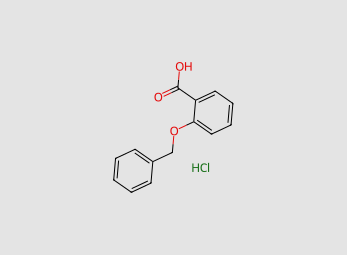 Cl.O=C(O)c1ccccc1OCc1ccccc1